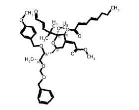 CCCC=CC=CC(=O)O[C@H]1C(=CC(=O)OC)C[C@@H](C[C@@H](OCc2ccc(OC)cc2)[C@@H](C)OCOCc2ccccc2)O[C@@]1(OC)C(C)(C)C=CC=O